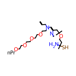 C=CCN(/C=C(/CC(C)(C)OCCC(C)(N)S)N=C)CCOCCOCCOCCOCCC